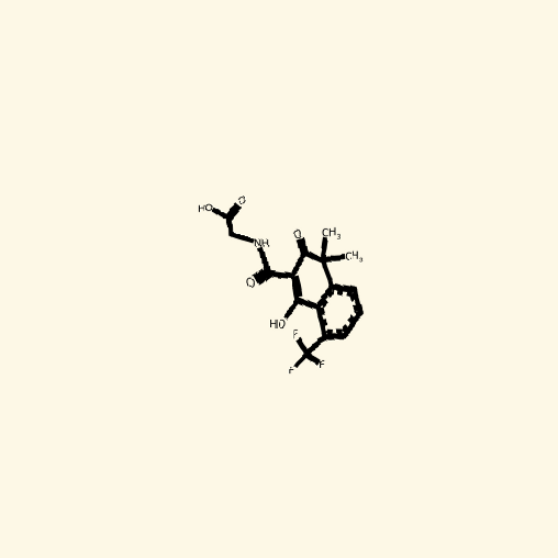 CC1(C)C(=O)C(C(=O)NCC(=O)O)=C(O)c2c(C(F)(F)F)cccc21